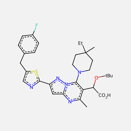 CCC1(C)CCN(c2c(C(OC(C)(C)C)C(=O)O)c(C)nc3cc(-c4ncc(Cc5ccc(F)cc5)s4)nn23)CC1